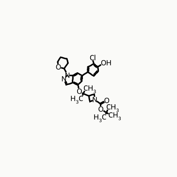 CC(C)(C)OC(=O)N1CC(C(C)(C)Oc2cc(-c3ccc(O)c(Cl)c3)cc3c2cnn3C2CCCCO2)C1